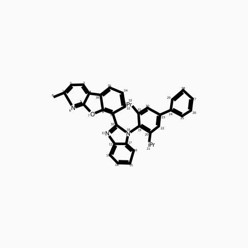 Cc1ccc2c(n1)oc1c(-c3nc4ccccc4n3-c3c(C(C)C)cc(-c4ccccc4)cc3C(C)C)cccc12